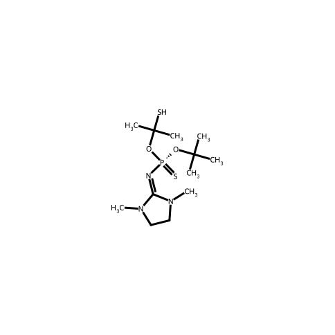 CN1CCN(C)C1=N[P@@](=S)(OC(C)(C)C)OC(C)(C)S